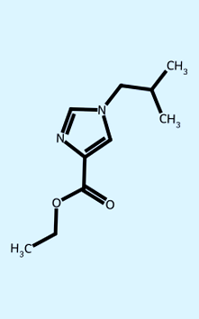 CCOC(=O)c1cn(CC(C)C)cn1